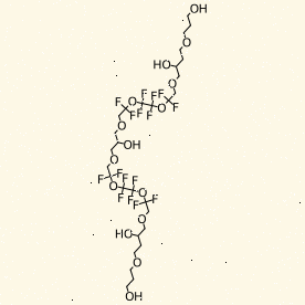 OCCCOCCC(O)COCC(F)(F)OC(F)(F)C(F)(F)OC(F)(F)COCC(O)COCC(F)(F)OC(F)(F)C(F)(F)OC(F)(F)COCC(O)CCOCCCO